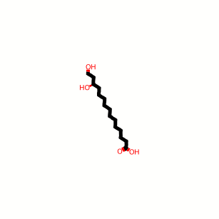 O=C(O)CCCCCCCCCCC[C@@H](O)CCO